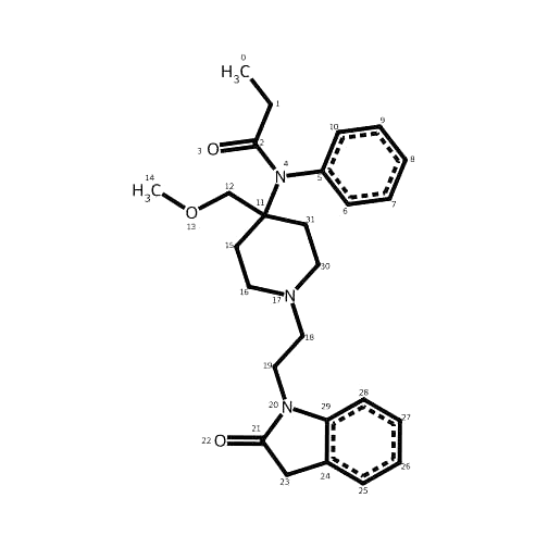 CCC(=O)N(c1ccccc1)C1(COC)CCN(CCN2C(=O)Cc3ccccc32)CC1